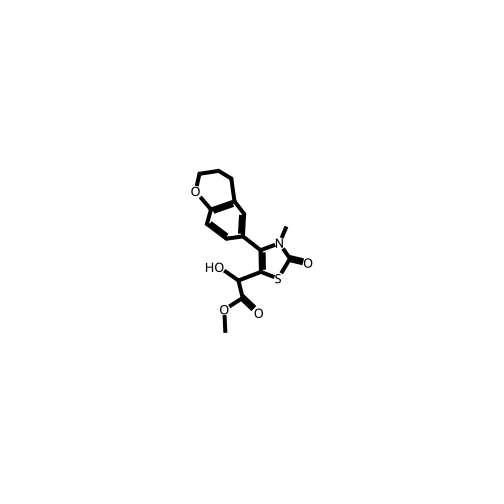 COC(=O)C(O)c1sc(=O)n(C)c1-c1ccc2c(c1)CCCO2